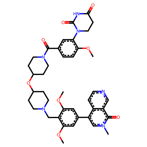 COc1ccc(C(=O)N2CCC(OC3CCN(Cc4c(OC)cc(-c5cn(C)c(=O)c6cnccc56)cc4OC)CC3)CC2)cc1N1CCC(=O)NC1=O